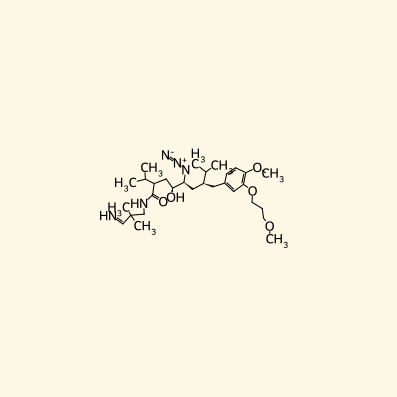 COCCCOc1cc(C[C@@H](C[C@H](N=[N+]=[N-])[C@@H](O)CC(C(=O)NCC(C)(C)C=N)C(C)C)C(C)C)ccc1OC